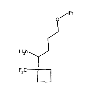 CC(C)OCCCC(N)C1(C(F)(F)F)CCC1